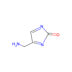 NCC1=NC(=O)N=C1